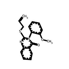 C=CCSc1nc2ccccc2c(=O)n1-c1ccccc1OC